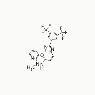 CN(NC(=O)/C=C\n1cnc(-c2cc(C(F)(F)F)cc(C(F)(F)F)c2)n1)c1ccccn1